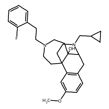 COc1ccc2c(c1)C13CCN(CCc4ccccc4F)CCC1(O)C(C2)N(CC1CC1)CC3